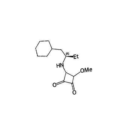 CC[C@H](CC1CCCCC1)NC1C(=O)C(=O)C1OC